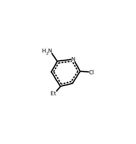 CCc1cc(N)nc(Cl)c1